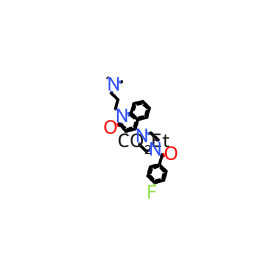 CCOC(=O)c1c(N2CCN(C(=O)c3ccc(F)cc3)CC2)c2ccccc2n(CCCN(C)C)c1=O